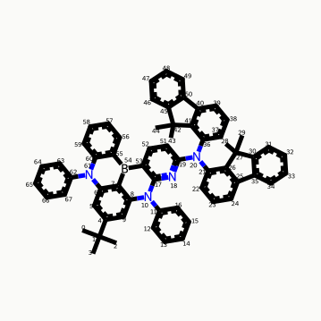 CC(C)(C)c1cc2c3c(c1)N(c1ccccc1)c1nc(N(c4cccc5c4C(C)(C)c4ccccc4-5)c4cccc5c4C(C)(C)c4ccccc4-5)ccc1B3c1ccccc1N2c1ccccc1